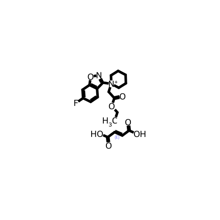 CCOC(=O)C[N+]1(c2noc3cc(F)ccc23)CCCCC1.O=C(O)/C=C/C(=O)O